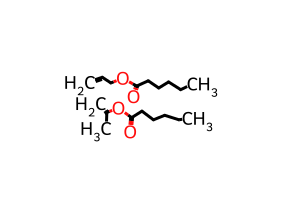 C=C(C)OC(=O)CCCCC.C=CCOC(=O)CCCCC